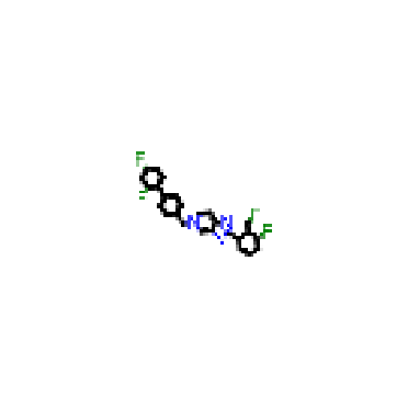 FCC1C(F)=CC=CC1c1nc2ccn(Cc3ccc(-c4ccc(F)cc4F)cc3)cc-2n1